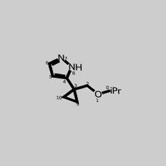 CC(C)OCC1(c2ccn[nH]2)CC1